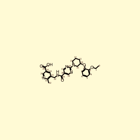 CCOc1ccccc1OC1CCCN(c2ncc(C(=O)NCc3cc(C(=O)O)cnc3C)cn2)C1